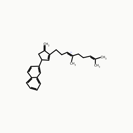 C=C1CC(c2ccc3ccccc3c2)C=C1CC/C=C(\C)CCC=C(C)C